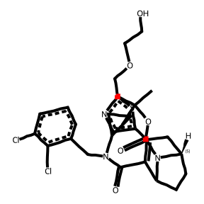 CC(C)(C)OC(=O)N1C2CC[C@H]1CC(c1cnc(COCCO)s1)=C2C(=O)N(Cc1cccc(Cl)c1Cl)C1CC1